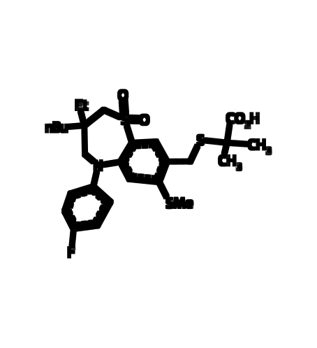 CCCCC1(CC)CN(c2ccc(F)cc2)c2cc(SC)c(CSC(C)(C)C(=O)O)cc2S(=O)(=O)C1